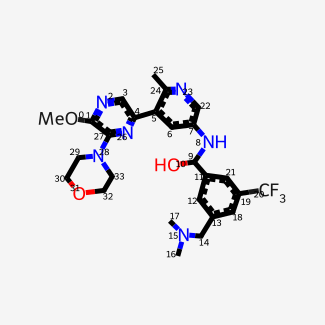 COc1ncc(-c2cc(NC(O)c3cc(CN(C)C)cc(C(F)(F)F)c3)cnc2C)nc1N1CCOCC1